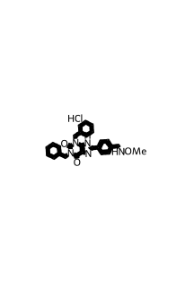 CONCc1ccc(-c2nc3c(=O)n(CC4CCCCC4)c(=O)n(CC4CCCCC4)c3[nH]2)cc1.Cl